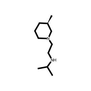 CC(C)NCCN1CCC[C@@H](C)C1